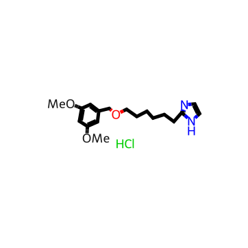 COc1cc(COCCCCCCc2ncc[nH]2)cc(OC)c1.Cl